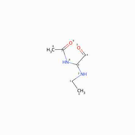 CCNC([C]=O)NC(C)=O